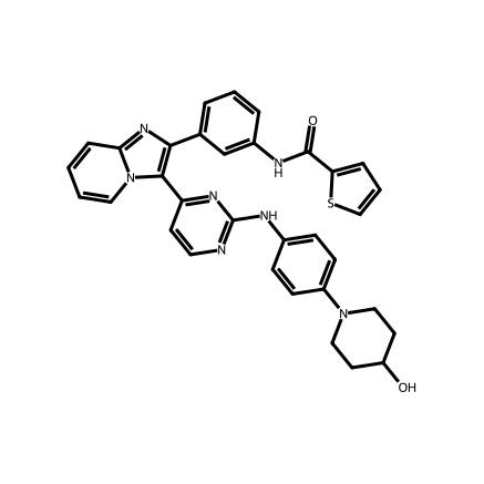 O=C(Nc1cccc(-c2nc3ccccn3c2-c2ccnc(Nc3ccc(N4CCC(O)CC4)cc3)n2)c1)c1cccs1